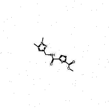 COC(=O)c1ccc(C(=O)NCc2cc(C)n(C)n2)s1